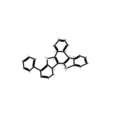 C1=CC(c2ccccc2)=C2Sc3c(c4[nH]c5ccccc5c4c4ccccc34)C2C1